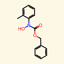 Cc1ccccc1N(O)C(=O)OCc1ccccc1